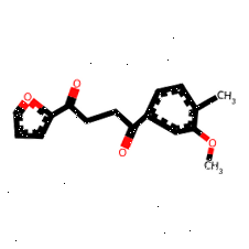 COc1cc(C(=O)CCC(=O)c2ccco2)ccc1C